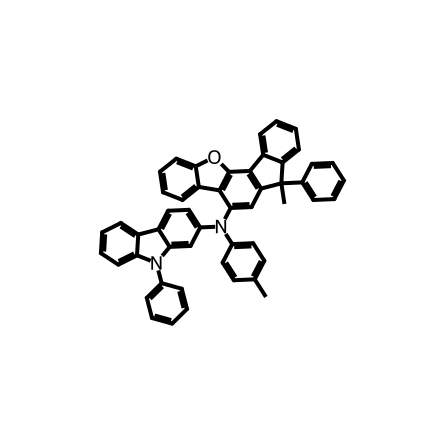 Cc1ccc(N(c2ccc3c4ccccc4n(-c4ccccc4)c3c2)c2cc3c(c4oc5ccccc5c24)-c2ccccc2C3(C)c2ccccc2)cc1